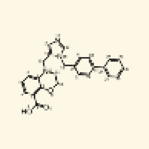 O=C(O)c1cccc2c1OCCN2Cc1cncn1Cc1ccc(-c2ccccc2)cc1